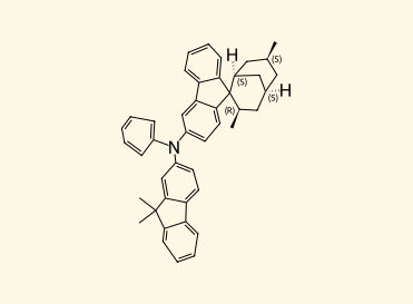 C[C@H]1C[C@@H]2C[C@H](C1)C1(c3ccccc3-c3cc(N(c4ccccc4)c4ccc5c(c4)C(C)(C)c4ccccc4-5)ccc31)[C@H](C)C2